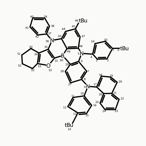 CC(C)(C)c1ccc(N2c3cc(N(c4ccc(C(C)(C)C)cc4)c4cccc5ccccc45)ccc3B3c4oc5c(c4N(c4ccccc4)c4cc(C(C)(C)C)cc2c43)CCCC5)cc1